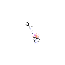 O=C(NCCCCN1CCC(c2ccccc2)CC1)C1=CC2CNC3=CC=CC(=C1S(=O)(=O)O)N32